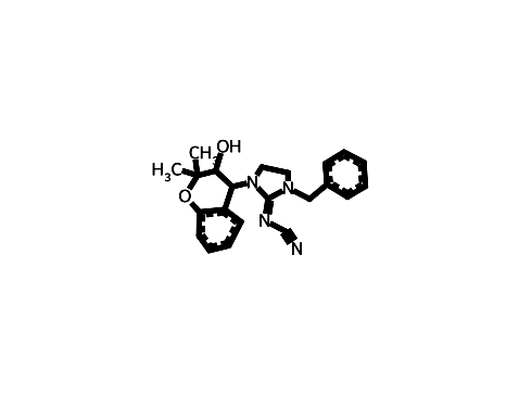 CC1(C)Oc2ccccc2C(N2CCN(Cc3ccccc3)C2=NC#N)C1O